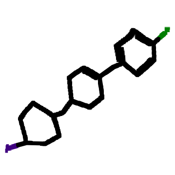 Fc1ccc(C2=CCC(C3CCC(I)CC3)CC2)cc1